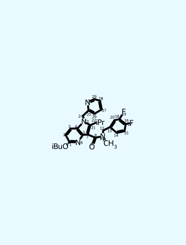 CC(C)COc1ccc2c(n1)c(C(=O)N(C)Cc1ccc(F)c(F)c1)c(C(C)C)n2Cc1ccccn1